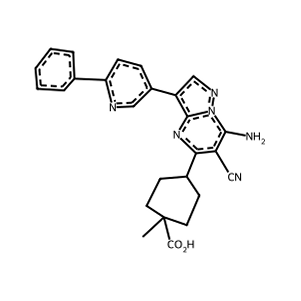 CC1(C(=O)O)CCC(c2nc3c(-c4ccc(-c5ccccc5)nc4)cnn3c(N)c2C#N)CC1